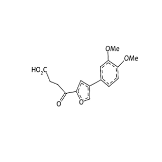 COc1ccc(-c2coc(C(=O)CCC(=O)O)c2)cc1OC